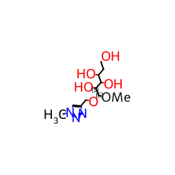 CO[C@@H](OCc1cn(C)nn1)[C@@H](O)C(O)C(O)CCO